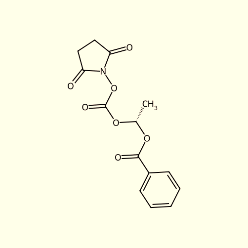 C[C@@H](OC(=O)ON1C(=O)CCC1=O)OC(=O)c1ccccc1